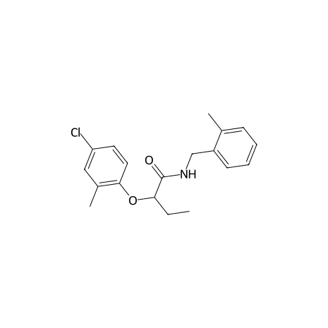 CCC(Oc1ccc(Cl)cc1C)C(=O)NCc1ccccc1C